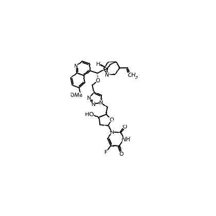 C=CC1C[N@@]2CCC1C[C@H]2[C@H](OCc1cn(CC2OC(n3cc(F)c(=O)[nH]c3=O)CC2O)nn1)c1ccnc2ccc(OC)cc12